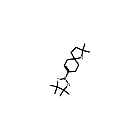 CC1(C)CCC2(CC=C(B3OC(C)(C)C(C)(C)O3)CC2)O1